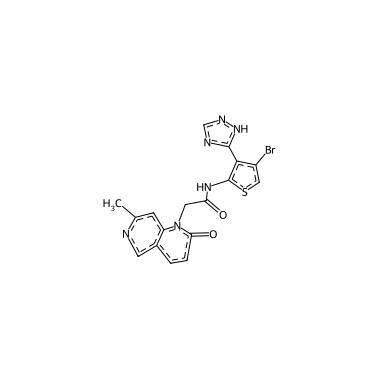 Cc1cc2c(ccc(=O)n2CC(=O)Nc2scc(Br)c2-c2ncn[nH]2)cn1